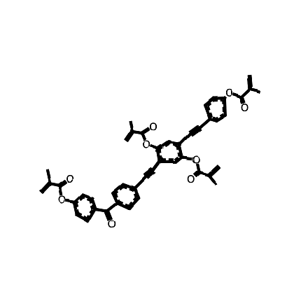 C=C(C)C(=O)Oc1ccc(C#Cc2cc(OC(=O)C(=C)C)c(C#Cc3ccc(C(=O)c4ccc(OC(=O)C(=C)C)cc4)cc3)cc2OC(=O)C(=C)C)cc1